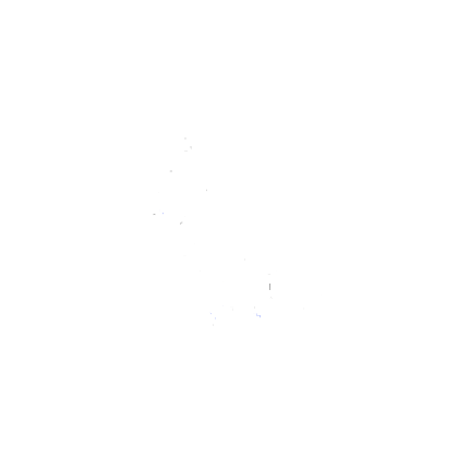 Cc1cccc(C)c1Nc1ncc(C=Cc2ncc(C(C)(C)C)o2)s1